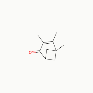 CC1=C(C)C2(C)CC(C2)C1=O